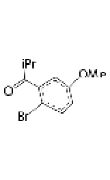 COc1ccc(Br)c(C(=O)C(C)C)c1